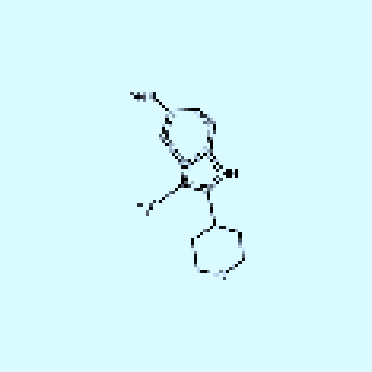 CNc1ccc2[nH]c(C3CCOCC3)c(C)c2c1